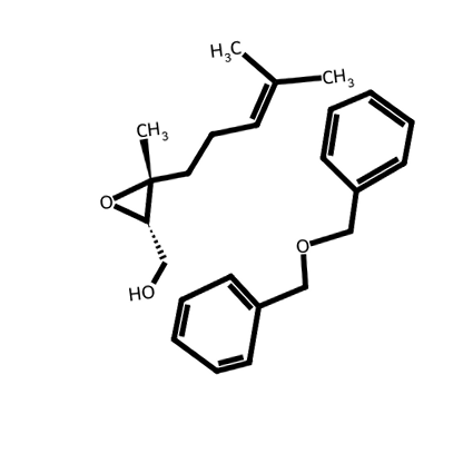 CC(C)=CCC[C@@]1(C)O[C@H]1CO.c1ccc(COCc2ccccc2)cc1